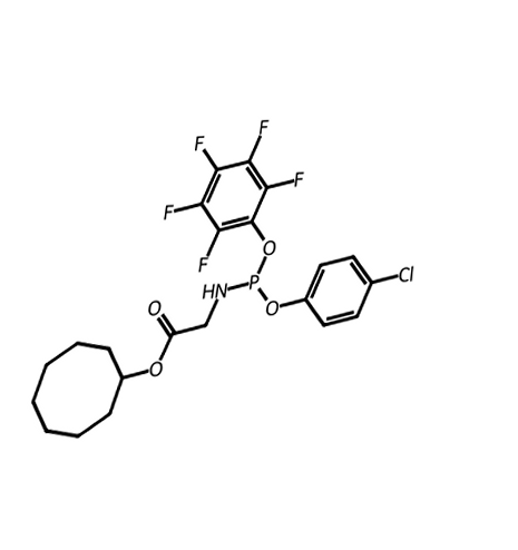 O=C(CNP(Oc1ccc(Cl)cc1)Oc1c(F)c(F)c(F)c(F)c1F)OC1CCCCCCC1